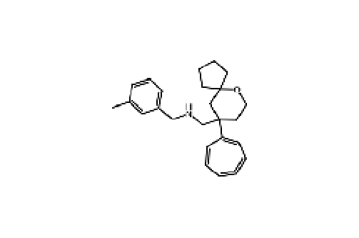 Cc1cccc(CNCC2(C3=CC=C=CC=C3)CCOC3(CCCC3)C2)c1